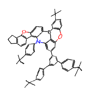 CC(C)(C)c1ccc(-c2cc(-c3ccc(C(C)(C)C)cc3)cc(-c3cc4c5c(c3)N(c3ccc(C(C)(C)C)cc3)c3c(ccc6oc7c8c(ccc7c36)CCC8)B5c3cc(C(C)(C)C)ccc3O4)c2)cc1